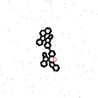 C1=CC2=C3C(=CCC2C=C1)c1ccccc1C31c2ccccc2-c2cc(-c3ccc4c(c3)C3(c5ccccc5-c5ccccc53)c3ccc5ccccc5c3O4)ccc21